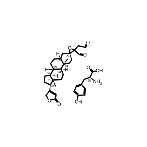 C[C@]12CC[C@@]3(C[C@H]1CC[C@@H]1[C@@H]2CC[C@]2(C)[C@@H](C4=CC(=O)OC4)CC[C@@H]12)OC3(C=O)CC=O.N[C@@H](Cc1ccc(O)cc1)C(=O)O